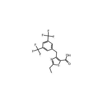 CCc1nc(Cc2cc(C(F)(F)F)cc(C(F)(F)F)c2)c(C(=O)O)s1